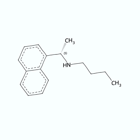 CCCCN[C@@H](C)c1cccc2ccccc12